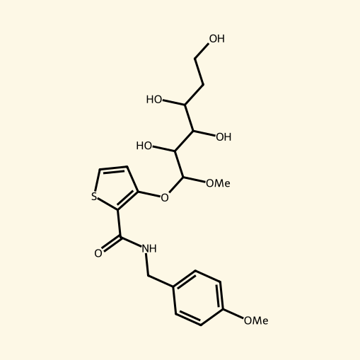 COc1ccc(CNC(=O)c2sccc2OC(OC)C(O)C(O)C(O)CCO)cc1